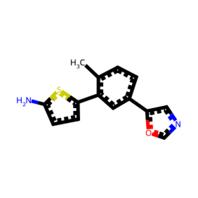 Cc1ccc(-c2cnco2)cc1-c1ccc(N)s1